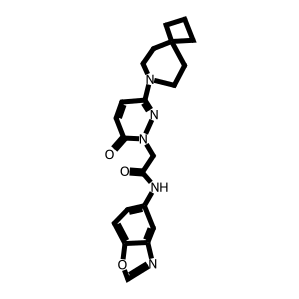 O=C(Cn1nc(N2CCC3(CCC3)CC2)ccc1=O)Nc1ccc2ocnc2c1